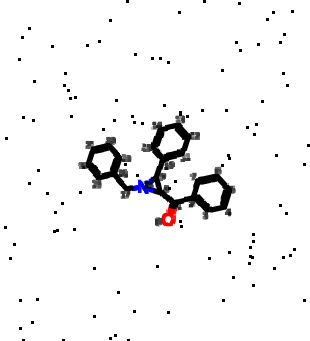 O=C(c1ccccc1)C1C(c2ccccc2)N1Cc1ccccc1